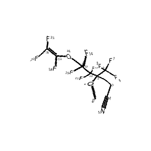 COC(CC#N)(C(F)(F)F)C(F)(F)C(F)(F)OC(F)=C(F)F